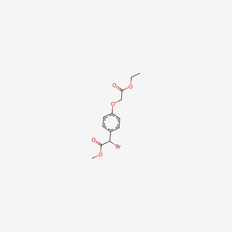 CCOC(=O)COc1ccc(C(Br)C(=O)OC)cc1